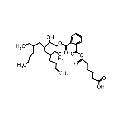 CCCCC(CC)CC(CC(CC)CCCC)C(O)COC(=O)c1ccccc1C(=O)OC(=O)CCCCC(=O)O